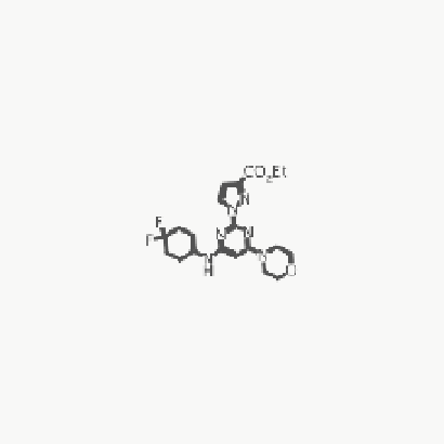 CCOC(=O)c1ccn(-c2nc(NC3CCC(F)(F)CC3)cc(N3CCOCC3)n2)n1